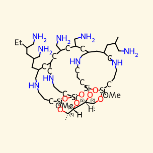 CCC(CN)CC(CN)CC1CNCCC[Si]2(OC)O[C@@H](C)[C@@H]3O[Si]4(CCCNCC(CC(CN)CC(CN)CC5CNCCC[Si]6(O[C@H]3[C@@H](C)O[Si](OC)(CCCNCC(CC(C)CN)C5)O6)O4)C1)O2